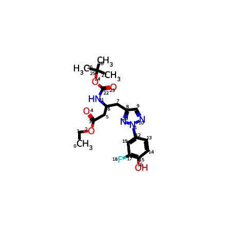 CCOC(=O)CC(Cc1cnn(-c2ccc(O)c(F)c2)n1)NC(=O)OC(C)(C)C